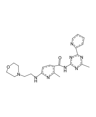 Cc1nc(NC(=O)c2ccc(NCCN3CCOCC3)nc2C)nc(-c2ccccn2)n1